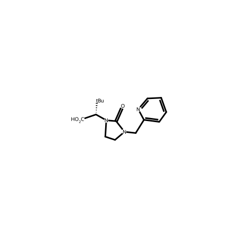 CC(C)(C)[C@@H](C(=O)O)N1CCN(Cc2ccccn2)C1=O